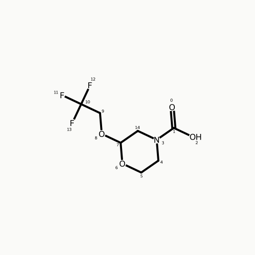 O=C(O)N1CCOC(OCC(F)(F)F)C1